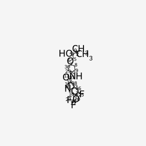 CC(C)C(O)COC1CCC(NC(=O)c2cnc3cc(OC(F)F)c(F)cc3c2)CC1